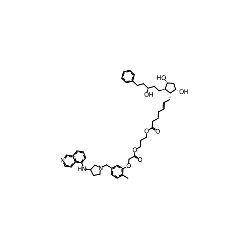 Cc1ccc(CN2CC[C@@H](Nc3cccc4cnccc34)C2)cc1OCC(=O)OCCCOC(=O)CCC/C=C/C[C@@H]1[C@@H](CC[C@@H](O)CCc2ccccc2)[C@H](O)C[C@@H]1O